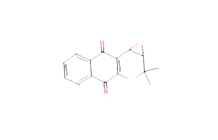 CC1(C)OC2=C(C(=O)c3ccccc3C2=O)C2OC21